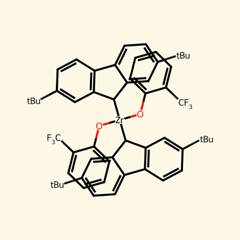 CC(C)(C)c1ccc2c(c1)[CH]([Zr]([O]c1ccccc1C(F)(F)F)([O]c1ccccc1C(F)(F)F)[CH]1c3cc(C(C)(C)C)ccc3-c3ccc(C(C)(C)C)cc31)c1cc(C(C)(C)C)ccc1-2